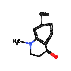 COc1ccc2c(c1)N(C)CCC2=O